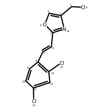 ClCc1coc(C=Cc2ccc(Cl)cc2Cl)n1